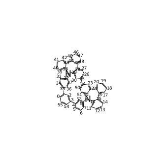 c1ccc(-c2cccc(N3c4ccccc4-c4ccccc4-c4cc(-c5ccc6c(c5)N(c5ccccc5)c5ccccc5-c5ccccc5-6)ccc43)c2)cc1